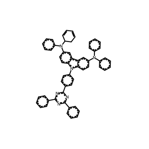 C1=CCC(N(c2ccccc2)c2ccc3c(c2)c2cc(N(c4ccccc4)c4ccccc4)ccc2n3-c2ccc(-c3nc(-c4ccccc4)nc(-c4ccccc4)n3)cc2)C=C1